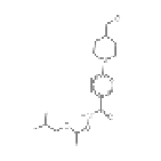 CC(C)COC(C)ONC(=O)c1ccc(N2CCC(CO)CC2)cc1